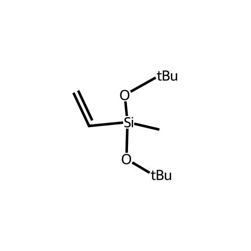 C=C[Si](C)(OC(C)(C)C)OC(C)(C)C